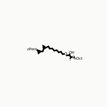 CCCCCCCCOC(I)C(O)COCCCCCCCCC1CC1CC1CC1CCCCC